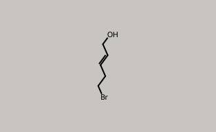 OCC=CCCBr